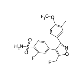 Cc1cc(-c2noc(CF)c2-c2ccc(S(N)(=O)=O)c(F)c2)ccc1OC(F)(F)F